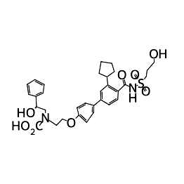 O=C(NS(=O)(=O)CCCO)c1ccc(-c2ccc(OCCN(C[C@@H](O)c3ccccc3)C(=O)O)cc2)cc1C1CCCC1